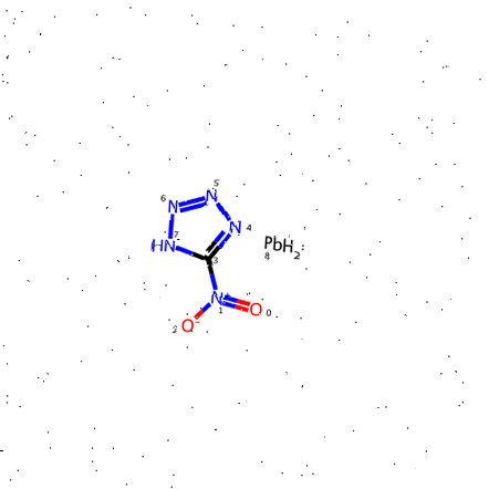 O=[N+]([O-])c1nnn[nH]1.[PbH2]